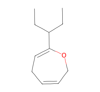 CCC(CC)C1=CCC=CCO1